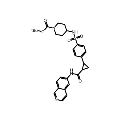 CC(C)(C)OC(=O)N1CCC(NS(=O)(=O)c2ccc(C3CC3C(=O)Nc3ccc4cnccc4c3)cc2)CC1